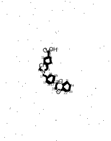 CCN(Cc1ccc(C(=O)O)cc1)Cc1ccc([C@H]2COc3ccccc3O2)cc1